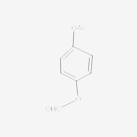 CC(=O)Oc1ccc(O[C]=O)cc1